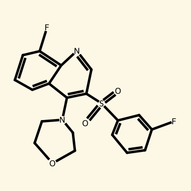 O=S(=O)(c1cccc(F)c1)c1cnc2c(F)cccc2c1N1CCOCC1